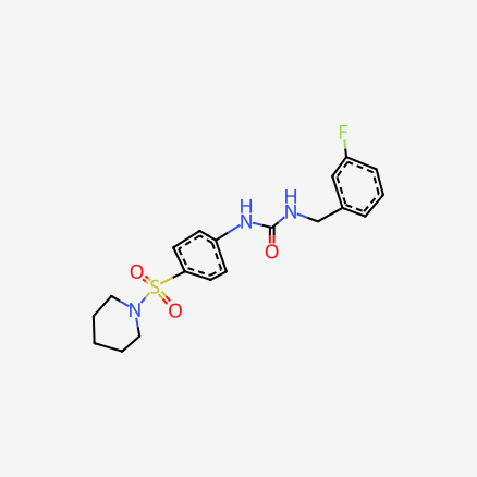 O=C(NCc1cccc(F)c1)Nc1ccc(S(=O)(=O)N2CCCCC2)cc1